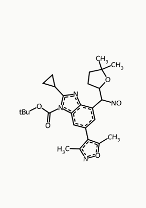 Cc1noc(C)c1-c1cc(C(N=O)C2CCC(C)(C)O2)c2nc(C3CC3)n(C(=O)OC(C)(C)C)c2c1